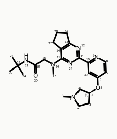 CN1CC[C@H](Oc2ccnc(-c3nc4c(c(N(C)CC(=O)NC(C)(C)C)n3)CCC4)c2)C1